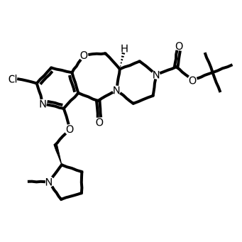 CN1CCC[C@@H]1COc1nc(Cl)cc2c1C(=O)N1CCN(C(=O)OC(C)(C)C)C[C@@H]1CO2